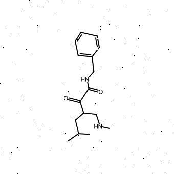 CNCC(CC(C)C)C(=O)C(=O)NCc1ccccc1